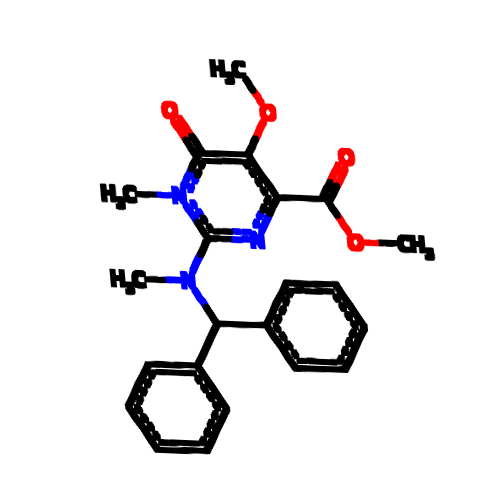 COC(=O)c1nc(N(C)C(c2ccccc2)c2ccccc2)n(C)c(=O)c1OC